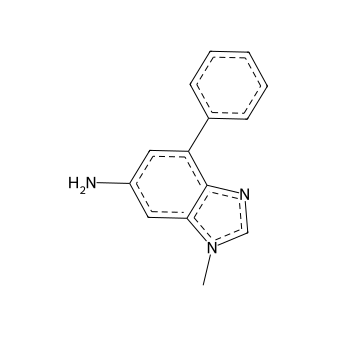 Cn1cnc2c(-c3ccccc3)cc(N)cc21